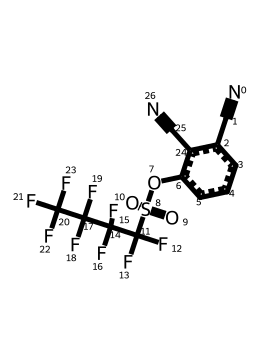 N#Cc1cccc(OS(=O)(=O)C(F)(F)C(F)(F)C(F)(F)C(F)(F)F)c1C#N